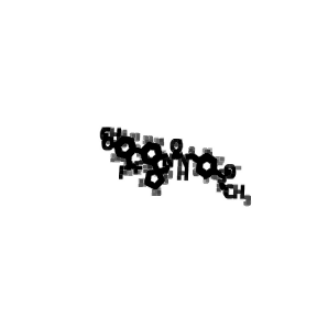 CC[S+]([O-])c1ccc(CNC(=O)N2CC3(CCCC3)c3cc(-c4ccc(OC)cc4C(F)F)ccc32)cc1